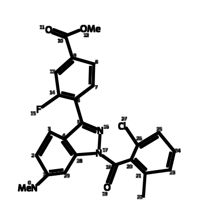 CNc1ccc2c(-c3ccc(C(=O)OC)cc3F)nn(C(=O)c3c(C)cccc3Cl)c2c1